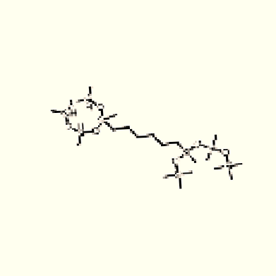 C[SiH]1O[SiH](C)O[Si](C)(CCCCCC[Si](C)(O[Si](C)(C)C)O[Si](C)(C)O[Si](C)(C)C)O[SiH](C)O1